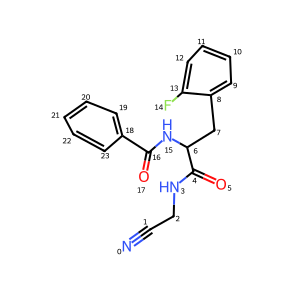 N#CCNC(=O)C(Cc1ccccc1F)NC(=O)c1ccccc1